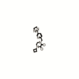 O=C1C(=O)N(C2CCC2)CCN1Cc1ccc(-n2nccn2)cn1